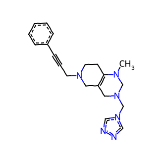 CN1CN(Cn2cnnc2)CC2=C1CCN(CC#Cc1ccccc1)C2